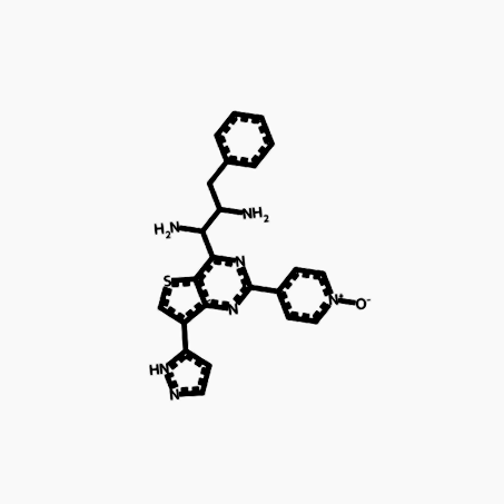 NC(Cc1ccccc1)C(N)c1nc(-c2cc[n+]([O-])cc2)nc2c(-c3ccn[nH]3)csc12